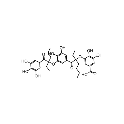 CCCCC(CC)(Oc1cc(C(=O)O)cc(O)c1O)C(=O)c1cc(O)c(O)c(OC(CC)(CCC)C(=O)c2cc(O)c(O)c(O)c2)c1